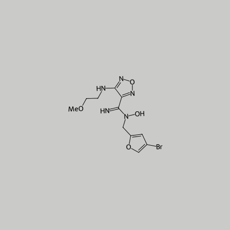 COCCNc1nonc1C(=N)N(O)Cc1cc(Br)co1